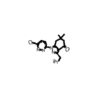 CC(C)Cc1nn(-c2ccc(Cl)nn2)c2c1C(=O)CC(C)(C)C2